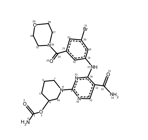 NC(=O)OC1CCCN(c2ncc(C(N)=O)c(Nc3cc(Br)cc(C(=O)N4CCOCC4)c3)n2)C1